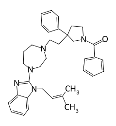 CC(C)=CCn1c(N2CCCN(CCC3(c4ccccc4)CCN(C(=O)c4ccccc4)C3)CC2)nc2ccccc21